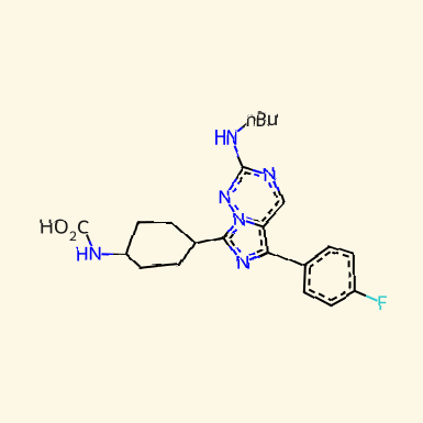 CCCCNc1ncc2c(-c3ccc(F)cc3)nc(C3CCC(NC(=O)O)CC3)n2n1